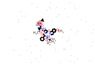 CC[C@@H]1C[C@]1(NC(=O)[C@@H]1CC(Oc2nccc3cc(OC)ccc23)CN1C(=O)[C@@H](NC(=O)OC(C)(C)C)C1CCCCC1)C(=O)NS(=O)(=O)OC1CC1